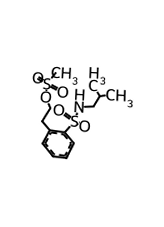 CC(C)CNS(=O)(=O)c1ccccc1CCOS(C)(=O)=O